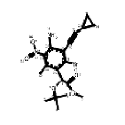 COC(=O)[C@@H](OC(C)(C)C)c1c(C)c([N+](=O)[O-])c(N)c(C#CC2CC2)c1Br